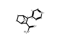 NC(=O)C1C2CCC(O2)C1c1ccncc1